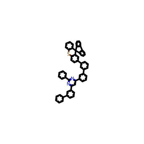 c1ccc(-c2cccc(-c3cc(-c4cccc(-c5cccc(-c6ccc7c(c6)C6(c8ccccc8S7)c7ccccc7-c7ccccc76)c5)c4)nc(-c4ccccc4)n3)c2)cc1